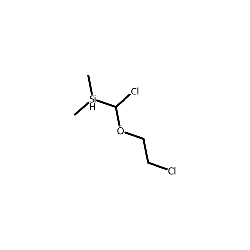 C[SiH](C)C(Cl)OCCCl